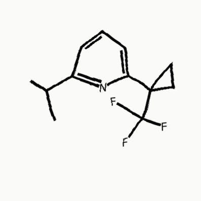 CC(C)c1cccc(C2(C(F)(F)F)CC2)n1